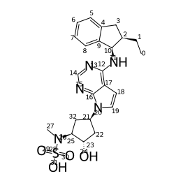 CC[C@@H]1Cc2ccccc2[C@@H]1Nc1ncnc2c1ccn2[C@H]1C[C@H](O)[C@@H](N(C)S(=O)(=O)O)C1